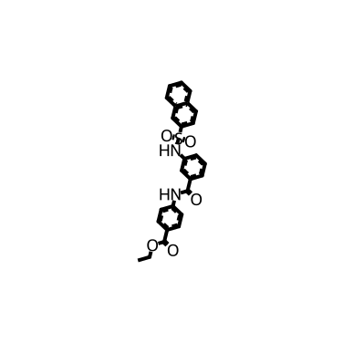 CCOC(=O)c1ccc(NC(=O)c2cccc(NS(=O)(=O)c3ccc4ccccc4c3)c2)cc1